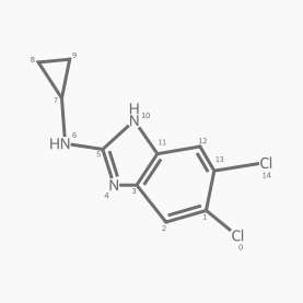 Clc1cc2nc(NC3CC3)[nH]c2cc1Cl